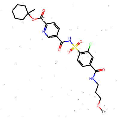 CCOCCCNC(=O)c1ccc(S(=O)(=O)NC(=O)c2ccc(C(=O)OC3(C)CCCCC3)nc2)c(Cl)c1